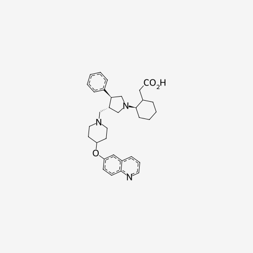 O=C(O)CC1CCCC[C@H]1N1C[C@H](CN2CCC(Oc3ccc4ncccc4c3)CC2)[C@@H](c2ccccc2)C1